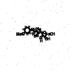 C#C[C@H]1O[C@@H](n2cnc3c(NC4C=CC(OC)CCC4)ncnc32)[C@H](O)[C@@H]1O